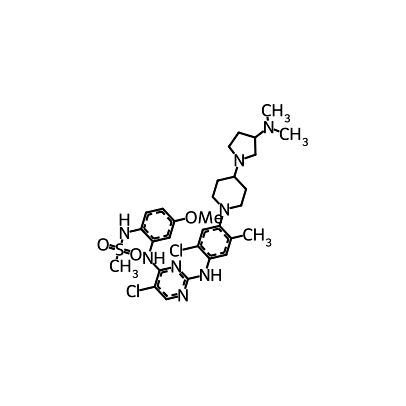 COc1ccc(NS(C)(=O)=O)c(Nc2nc(Nc3cc(C)c(N4CCC(N5CCC(N(C)C)C5)CC4)cc3Cl)ncc2Cl)c1